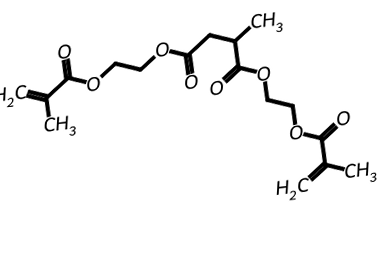 C=C(C)C(=O)OCCOC(=O)CC(C)C(=O)OCCOC(=O)C(=C)C